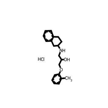 Cc1ccccc1OCC(O)CNC1CCc2ccccc2C1.Cl